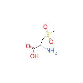 CS(=O)(=O)C[C@H](N)C(=O)O